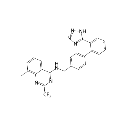 Cc1cccc2c(NCc3ccc(-c4ccccc4-c4nnn[nH]4)cc3)nc(C(F)(F)F)nc12